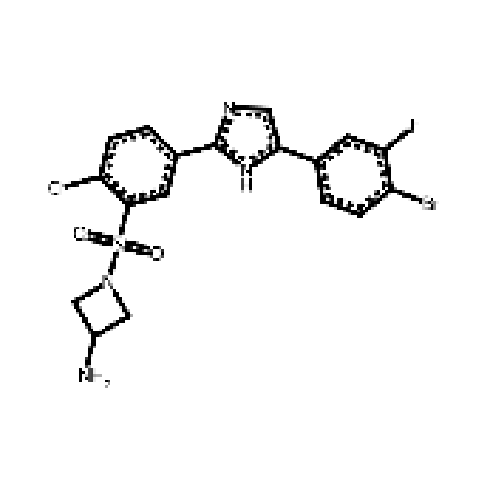 NC1CN(S(=O)(=O)c2cc(-c3ncc(-c4ccc(Br)c(F)c4)[nH]3)ccc2Cl)C1